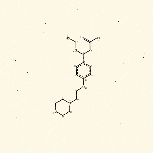 CC(C)C(=O)CC(SCS)c1ccc(OCCN2CCOCC2)cc1